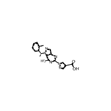 Cc1ccccc1[C@H](C)n1ncc2nc(-n3cc(C(=O)O)cn3)nc(O)c21